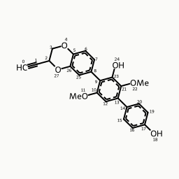 C#CC1COc2ccc(-c3c(OC)cc(-c4ccc(O)cc4)c(OC)c3O)cc2O1